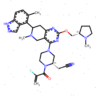 C=C(F)C(=O)N1CCN(c2nc(OC[C@@H]3CCCN3C)nc3c2CN(C)C(c2c(C)ccc4[nH]ncc24)C3)C[C@@H]1CC#N